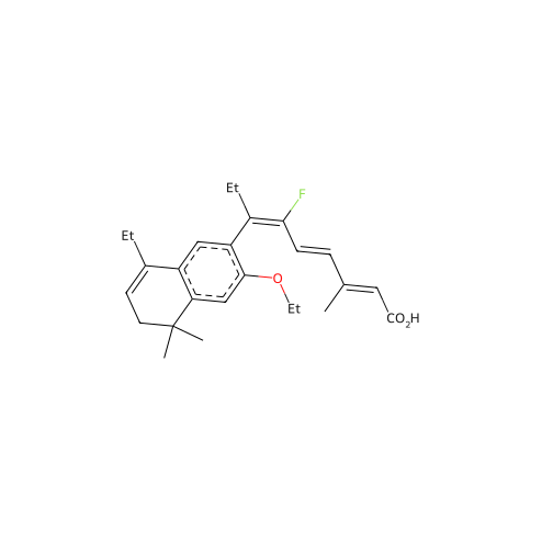 CCOc1cc2c(cc1\C(CC)=C(F)/C=C/C(C)=C/C(=O)O)C(CC)=CCC2(C)C